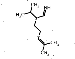 CC(C)=CCCC(C=N)C(C)C